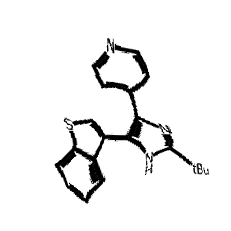 CC(C)(C)c1nc(-c2ccncc2)c(-c2csc3ccccc23)[nH]1